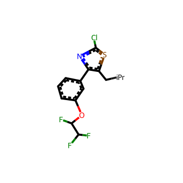 CC(C)Cc1sc(Cl)nc1-c1cccc(OC(F)C(F)F)c1